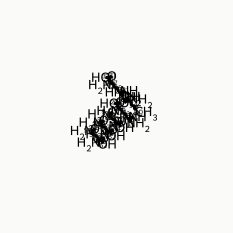 CSCC[C@H](N)C(=O)O.N=C(N)NCCC[C@H](N)C(=O)O.N=C(N)NCCC[C@H](N)C(=O)O.NC(=O)CC[C@H](N)C(=O)O.NC(=O)CC[C@H](N)C(=O)O.NC(=O)CC[C@H](N)C(=O)O